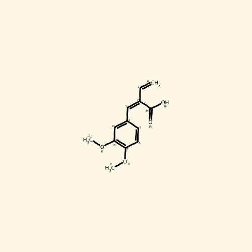 C=CC(=Cc1ccc(OC)c(OC)c1)C(=O)O